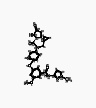 CC(C)Oc1cc(Oc2cnc(N(CC3CC3)C(=O)[C@H]3CCC(=O)N3)cn2)cc(C(=O)Nc2ccn(C)n2)c1